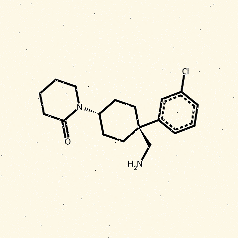 NC[C@]1(c2cccc(Cl)c2)CC[C@@H](N2CCCCC2=O)CC1